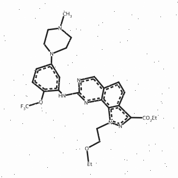 CCOCCn1nc(C(=O)OCC)c2ccc3cnc(Nc4cc(N5CCN(C)CC5)ccc4OC(F)(F)F)nc3c21